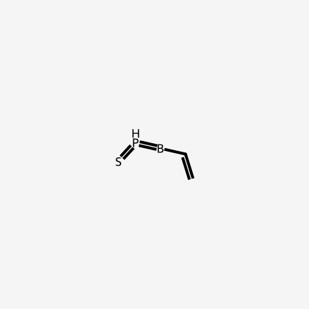 C=CB=[PH]=S